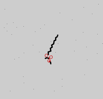 CCCCCCCCCCCCOC(C)C(=O)OCC